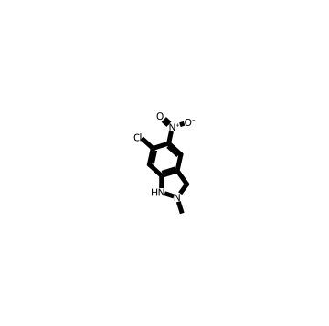 CN1Cc2cc([N+](=O)[O-])c(Cl)cc2N1